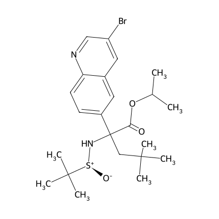 CC(C)OC(=O)C(CC(C)(C)C)(N[S@@+]([O-])C(C)(C)C)c1ccc2ncc(Br)cc2c1